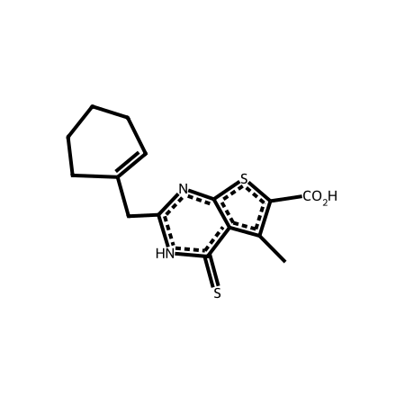 Cc1c(C(=O)O)sc2nc(CC3=CCCCC3)[nH]c(=S)c12